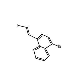 CCc1ccc(/C=C/I)c2ccccc12